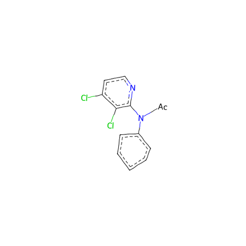 CC(=O)N(c1ccccc1)c1nccc(Cl)c1Cl